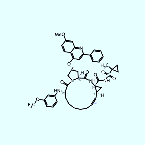 COc1ccc2c(O[C@@H]3C[C@H]4C(=O)N[C@]5(C(=O)NS(=O)(=O)C6(C)CC6)C[C@H]5/C=C\CCCCC[C@H](Nc5cccc(OC(F)(F)F)c5)C(=O)N4C3)cc(-c3ccccc3)nc2c1